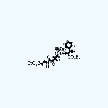 CCOC(=O)CCNC(=O)[C@H](O)C(C)(C)COP(=O)(O)OOc1ccccc1N[C@@H](C)C(=O)OCC